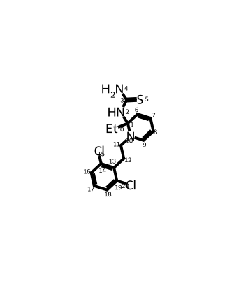 CCC1(NC(N)=S)C=CC=CN1CCc1c(Cl)cccc1Cl